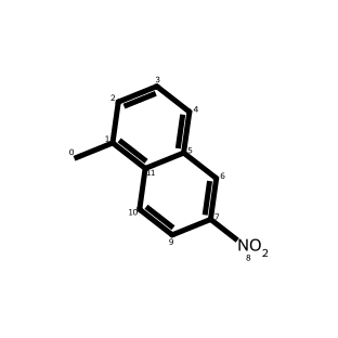 Cc1cccc2cc([N+](=O)[O-])ccc12